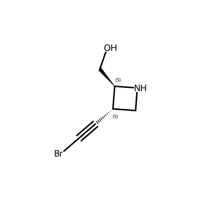 OC[C@H]1NC[C@@H]1C#CBr